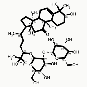 C[C@H](CC[C@@H](O[C@@H]1O[C@H](CO)[C@@H](O)[C@H](O)[C@H]1O[C@H]1O[C@@H](CO)[C@H](O)[C@@H](O)[C@@H]1O)C(C)(C)O)C1CC[C@@]2(C)C3CC=C4C(CC[C@H](O)C4(C)C)[C@]3(C)C(=O)C[C@]12C